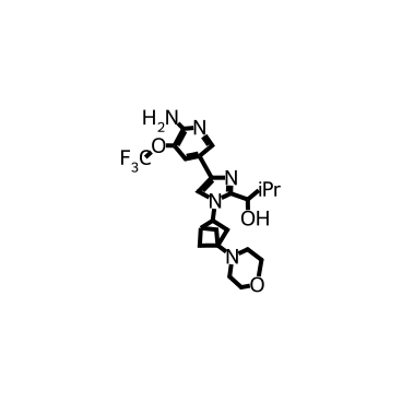 CC(C)C(O)c1nc(-c2cnc(N)c(OC(F)(F)F)c2)cn1C1CC2(N3CCOCC3)CC1C2